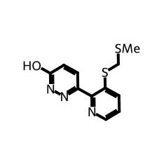 CSCSc1cccnc1-c1ccc(O)nn1